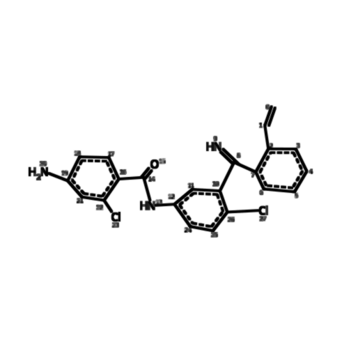 C=Cc1ccccc1C(=N)c1cc(NC(=O)c2ccc(N)cc2Cl)ccc1Cl